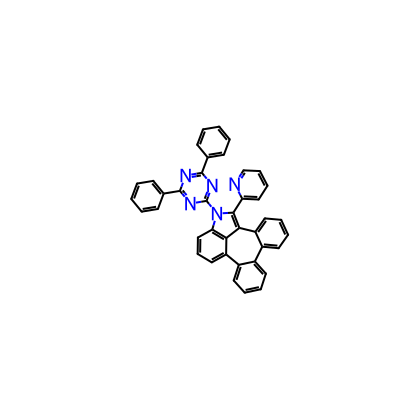 c1ccc(-c2nc(-c3ccccc3)nc(-n3c(-c4ccccn4)c4c5c(cccc53)-c3ccccc3-c3ccccc3-4)n2)cc1